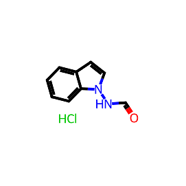 Cl.O=CNn1ccc2ccccc21